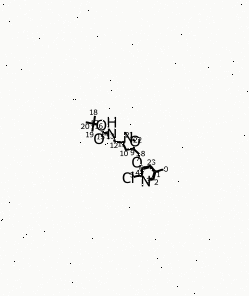 Cc1cnc(Cl)c(OCC2CC(CNC(=O)OC(C)(C)C)=NO2)c1